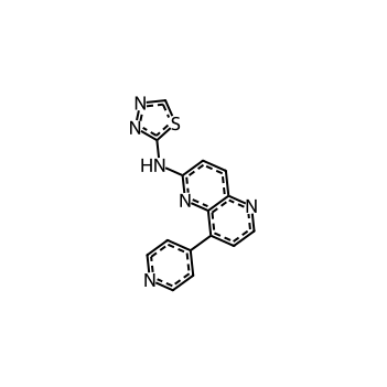 c1cc(-c2ccnc3ccc(Nc4nncs4)nc23)ccn1